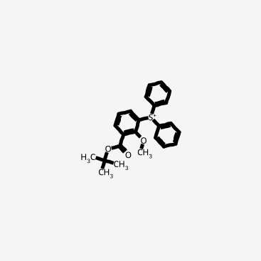 COc1c(C(=O)OC(C)(C)C)cccc1[S+](c1ccccc1)c1ccccc1